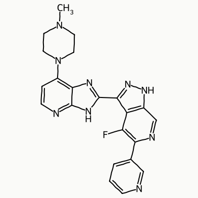 CN1CCN(c2ccnc3[nH]c(-c4n[nH]c5cnc(-c6cccnc6)c(F)c45)nc23)CC1